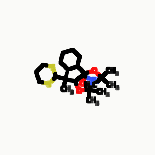 CC(C)(C)OC(=O)C1CCCC[C@@H]1C(C)(C1CNC(C)(C)O1)C1SCCCS1